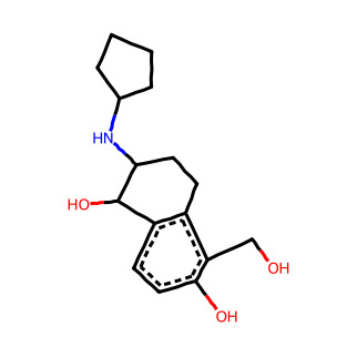 OCc1c(O)ccc2c1CCC(NC1CCCC1)C2O